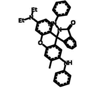 CCN(CC)c1ccc2c(c1)Oc1cc(C)c(Nc3ccccc3)cc1C21c2ccccc2C(=O)N1Nc1ccccc1